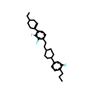 CCCc1ccc(C2CCC(CCc3ccc(C4=CCC(CC)CC4)c(F)c3F)CC2)cc1F